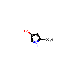 O=C(O)c1cc(O)c[nH]1